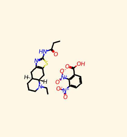 CCC(=O)Nc1nc2c(s1)C[C@H]1[C@@H](CCCN1CC)C2.O=C(O)c1cccc([N+](=O)[O-])c1[N+](=O)[O-]